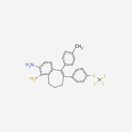 Cc1ccc(C2=C(c3ccc(SC(F)(F)F)cc3)CCCc3c2ccc(N)c3P)cc1